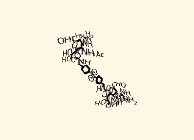 CC(=O)N[C@H]1[C@H]([C@H](OC(=O)NCC2=CCC(S(=O)(=O)c3ccc(CNC(=O)O[C@@H]([C@@H]4OC(C=O)=C[C@H](NC(=N)N)[C@H]4NC(C)=O)[C@H](O)CO)cc3)C=C2)[C@H](O)CO)OC(C=O)=C[C@@H]1NC(=N)N